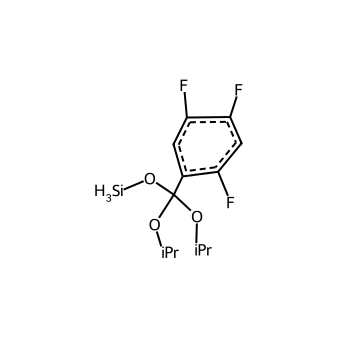 CC(C)OC(O[SiH3])(OC(C)C)c1cc(F)c(F)cc1F